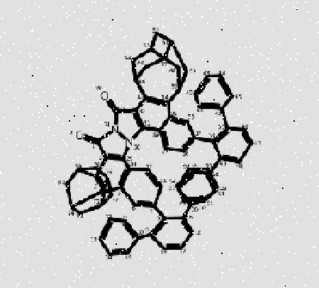 O=c1c2c3c(c4cc(-c5c(-c6ccccc6)cccc5-c5ccccc5)ccc4c2n2c4c(c5c(c6cc(-c7c(-c8ccccc8)cccc7-c7ccccc7)ccc64)C4CC6CC7CC5CC67C4)c(=O)n12)C1CC2CC(C1)CC3C2